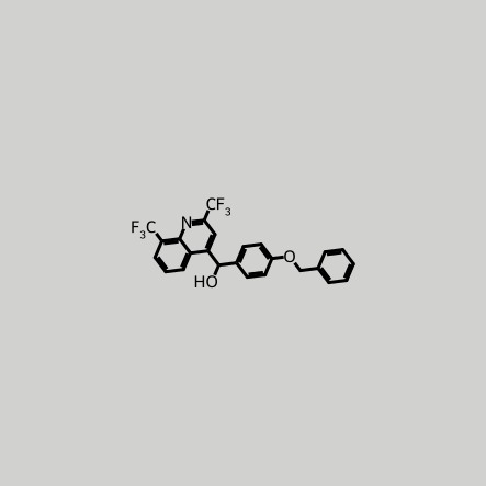 OC(c1ccc(OCc2ccccc2)cc1)c1cc(C(F)(F)F)nc2c(C(F)(F)F)cccc12